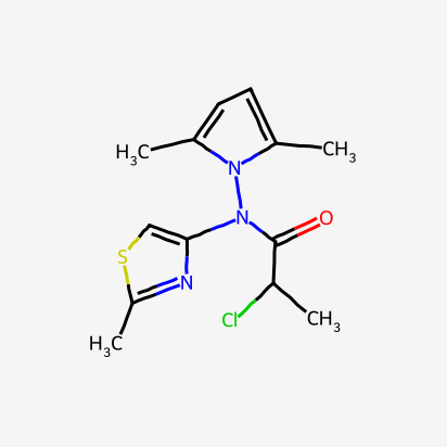 Cc1nc(N(C(=O)C(C)Cl)n2c(C)ccc2C)cs1